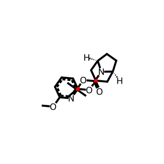 COc1cccc(O[C@H]2C[C@H]3CC[C@@H](C2)N3C(=O)OC(C)(C)C)n1